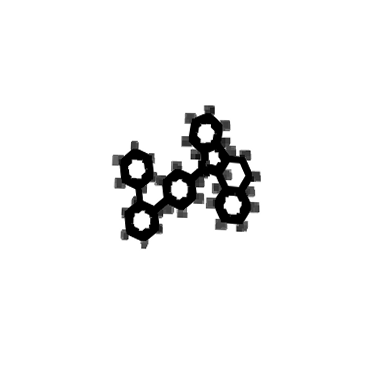 c1ccc(-c2ccccc2-c2ccc(-n3c4c(c5ccccc53)CCc3ccccc3-4)cc2)cc1